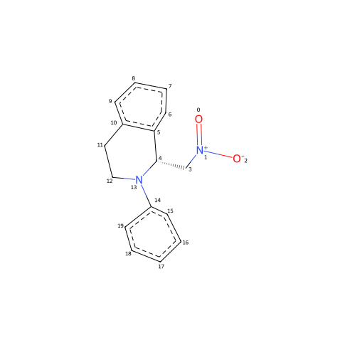 O=[N+]([O-])C[C@H]1c2ccccc2CCN1c1ccccc1